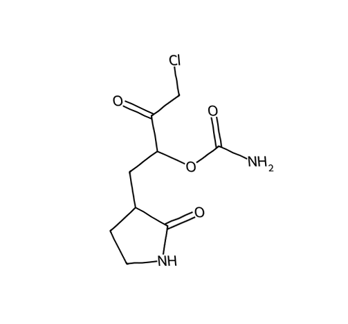 NC(=O)OC(CC1CCNC1=O)C(=O)CCl